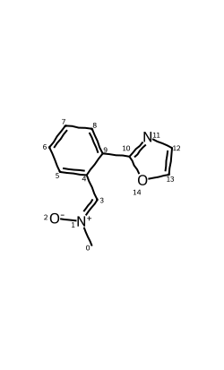 C[N+]([O-])=Cc1ccccc1-c1ncco1